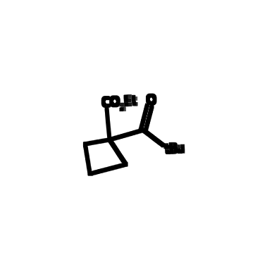 CCOC(=O)C1(C(=O)C(C)(C)C)CCC1